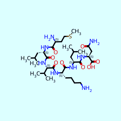 CSCC[C@H](N)C(=O)N[C@@H](CC(C)C)C(=O)N[C@H](C(=O)N[C@@H](CCCCN)C(=O)N[C@@H](CC(C)C)C(=O)N[C@@H](CC(N)=O)C(=O)O)C(C)C